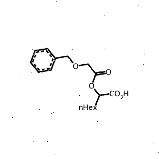 CCCCCCC(OC(=O)COCc1ccccc1)C(=O)O